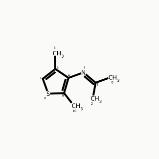 CC(C)=Nc1c(C)csc1C